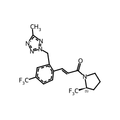 Cc1nnn(Cc2cc(C(F)(F)F)ccc2C=CC(=O)N2CCC[C@H]2C(F)(F)F)n1